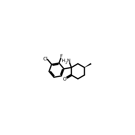 C[C@H]1CCC(=O)C(N)(c2cccc(Cl)c2F)C1